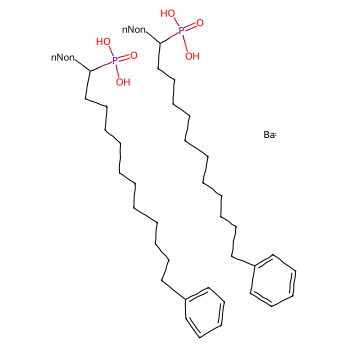 CCCCCCCCCC(CCCCCCCCCCCc1ccccc1)P(=O)(O)O.CCCCCCCCCC(CCCCCCCCCCCc1ccccc1)P(=O)(O)O.[Ba]